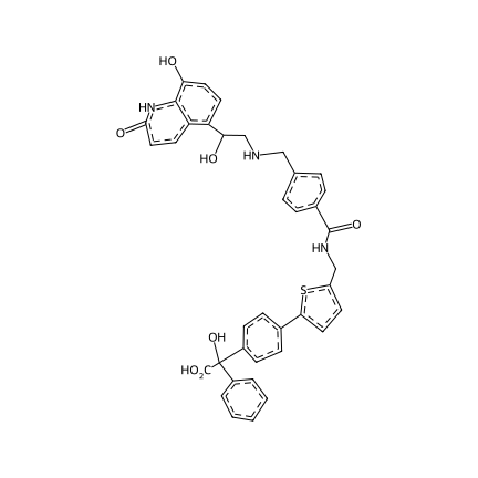 O=C(NCc1ccc(-c2ccc(C(O)(C(=O)O)c3ccccc3)cc2)s1)c1ccc(CNCC(O)c2ccc(O)c3[nH]c(=O)ccc23)cc1